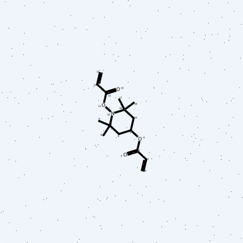 C=CC(=O)OC1CC(C)(C)N(OC(=O)C=C)C(C)(C)C1